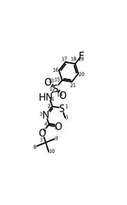 CS/C(=N\C(=O)OC(C)(C)C)NS(=O)(=O)c1ccc(F)cc1